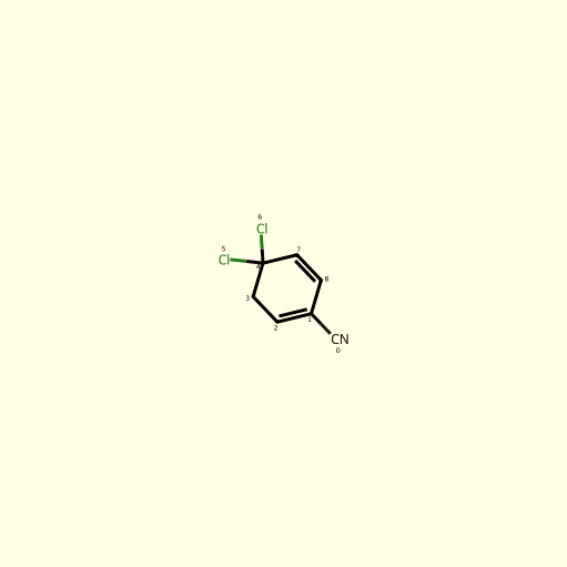 N#CC1=CCC(Cl)(Cl)C=C1